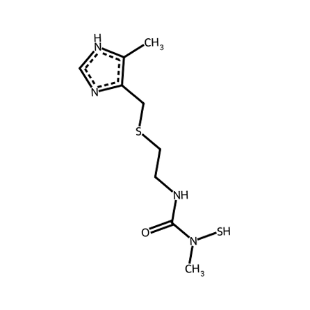 Cc1[nH]cnc1CSCCNC(=O)N(C)S